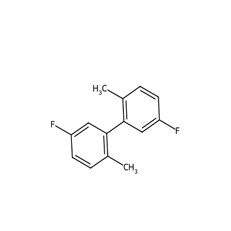 Cc1ccc(F)cc1-c1cc(F)ccc1C